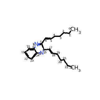 CCCCCC=Cc1nc2ccccc2nc1C=CCCCCC